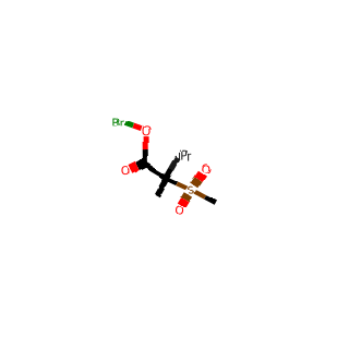 CC(C)C(C)(C(=O)OBr)S(C)(=O)=O